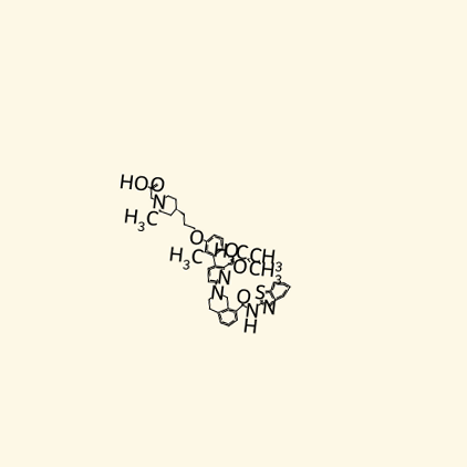 Cc1c(OCCC[C@@H]2CCN(CC(=O)O)[C@H](C)C2)cccc1-c1ccc(N2CCc3cccc(C(=O)Nc4nc5ccccc5s4)c3C2)nc1C(=O)OC(C)(C)C